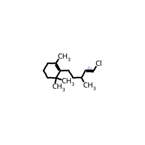 CC1=C(CCC(C)/C=C/Cl)C(C)(C)CCC1